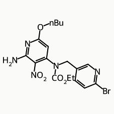 CCCCOc1cc(N(Cc2ccc(Br)nc2)C(=O)OCC)c([N+](=O)[O-])c(N)n1